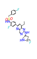 CCc1cc(-c2ccc(NS(=O)(=O)Cc3ccc(F)cc3)c(F)c2)nc2cnc(N[C@@H]3CNC[C@H](CF)C3)nc12